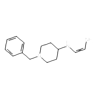 N/C=C\NC1CCN(Cc2ccccc2)CC1